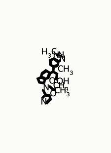 Cc1c(C(CC(=O)O)c2ccc3c(c2)C(N2Cc4cnccc4OC(C)(C)C2)CC3)ccc2c1nnn2C